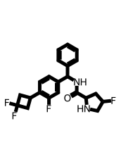 O=C(NC(c1ccccc1)c1ccc(C2CC(F)(F)C2)c(F)c1)C1CC(F)CN1